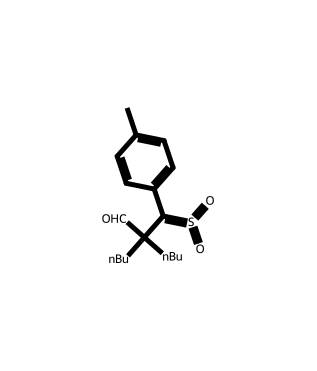 CCCCC(C=O)(CCCC)C(c1ccc(C)cc1)=S(=O)=O